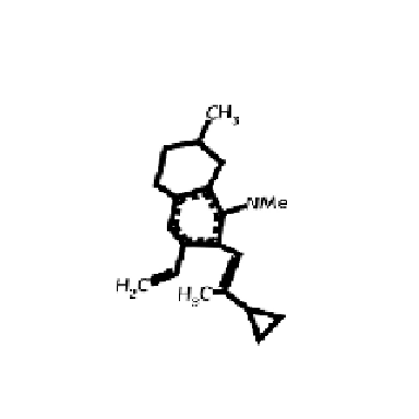 C=Cc1cc2c(c(NC)c1/C=C(\C)C1CC1)CC(C)CC2